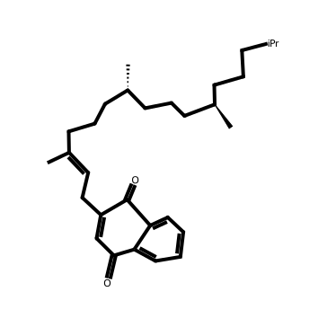 C/C(=C\CC1=CC(=O)c2ccccc2C1=O)CCC[C@H](C)CCC[C@H](C)CCCC(C)C